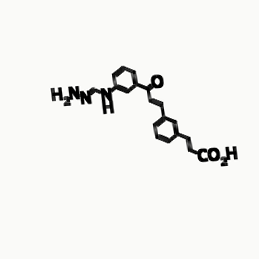 NN=CNc1cccc(C(=O)C=Cc2cccc(C=CC(=O)O)c2)c1